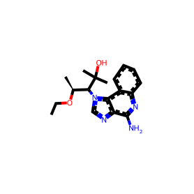 CCO[C@@H](C)C(n1cnc2c(N)nc3ccccc3c21)C(C)(C)O